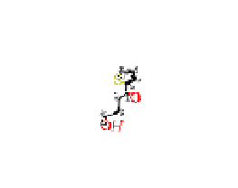 O=C(CCCO)c1cccs1